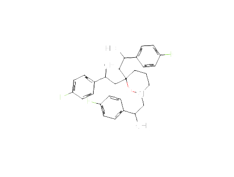 CC([CH2][Al]1[CH2]CCC(CC(C)c2ccc(F)cc2)(CC(C)c2ccc(F)cc2)[O]1)c1ccc(F)cc1